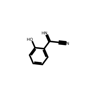 N#CC(=N)c1ccccc1O